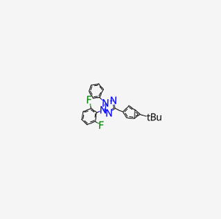 CC(C)(C)c1c2cc(-c3nn(-c4c(F)cccc4F)[n+](-c4ccccc4)n3)cc1-2